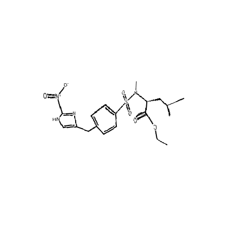 CCOC(=O)[C@H](CC(C)C)N(C)S(=O)(=O)c1ccc(Cc2c[nH]c([N+](=O)[O-])n2)cc1